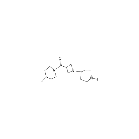 CC1CCN(C(=O)C2CN(C3CCN(I)CC3)C2)CC1